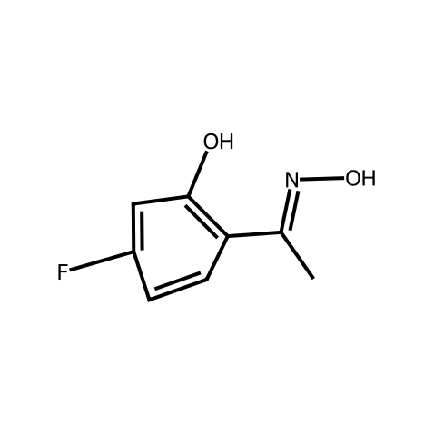 CC(=NO)c1ccc(F)cc1O